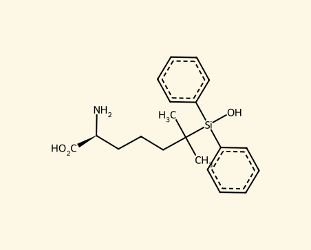 CC(C)(CCC[C@H](N)C(=O)O)[Si](O)(c1ccccc1)c1ccccc1